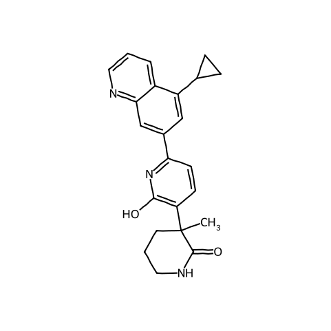 CC1(c2ccc(-c3cc(C4CC4)c4cccnc4c3)nc2O)CCCNC1=O